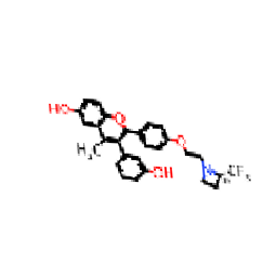 CC1=C(c2cccc(O)c2)C(c2ccc(OCCN3CC[C@H]3C(F)(F)F)cc2)Oc2ccc(O)cc21